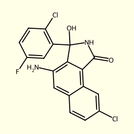 Nc1cc2ccc(Cl)cc2c2c1C(O)(c1cc(F)ccc1Cl)NC2=O